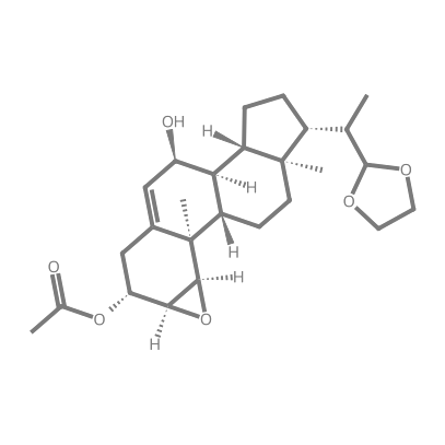 CC(=O)O[C@@H]1CC2=C[C@@H](O)[C@H]3[C@@H]4CC[C@H](C(C)C5OCCO5)[C@@]4(C)CC[C@@H]3[C@@]2(C)[C@H]2O[C@@H]12